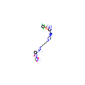 CC(Oc1cc(-c2cnn(C3CCN(CCCCCCCCN4CC(Nc5cccc6c5CN(C5CCC(=O)NC5=O)C6=O)C4)CC3)c2)cnc1N)c1c(Cl)ccc(F)c1Cl